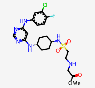 COC(=O)CNCCS(=O)(=O)N[C@H]1CC[C@H](Nc2cc(Nc3ccc(F)c(Cl)c3)ncn2)CC1